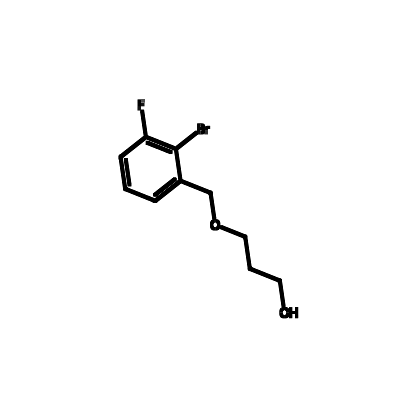 OCCCOCc1cccc(F)c1Br